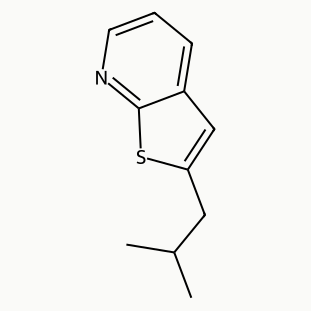 CC(C)Cc1cc2cccnc2s1